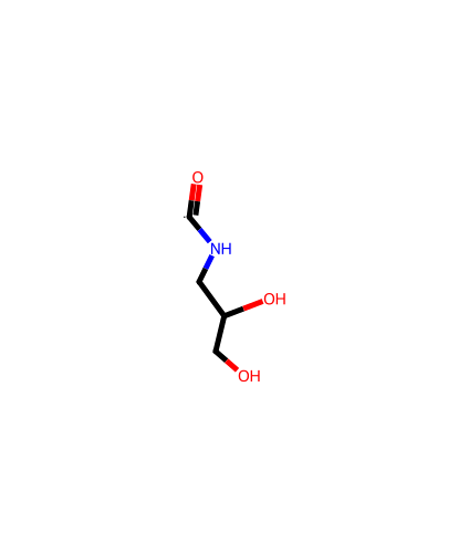 O=[C]NCC(O)CO